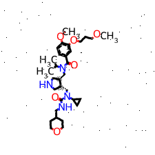 COCCCOc1cc(C(=O)N(C[C@@H]2CNC[C@H]2CN(C(=O)NCC2CCOCC2)C2CC2)C(C)C)ccc1OC